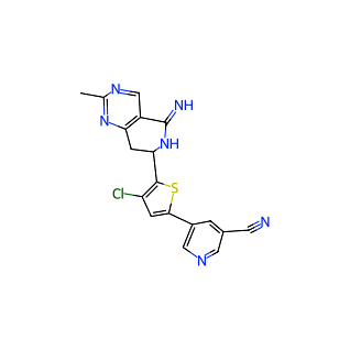 Cc1ncc2c(n1)CC(c1sc(-c3cncc(C#N)c3)cc1Cl)NC2=N